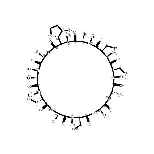 CC(C)C[C@@H]1C(=O)N(C)[C@H](CC(C)C)C(=O)N(C)[C@H](C(C)C)C(=O)N(C)[C@H]([C@@H]2OCC[C@H]2C)C(=O)N[C@H](C(C)C)C(=O)N(C)[C@H](C)C(=O)N(C)[C@@H](CC(C)C)C(=O)N[C@H](C(C)C)C(=O)N(C)[C@H](CC(C)C)C(=O)N[C@H](C)C(=O)N[C@@H](C)C(=O)N1C